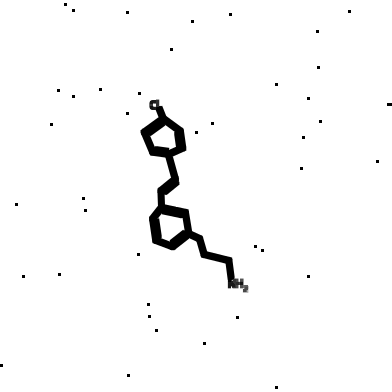 NCCCc1cccc(C=Cc2ccc(Cl)cc2)c1